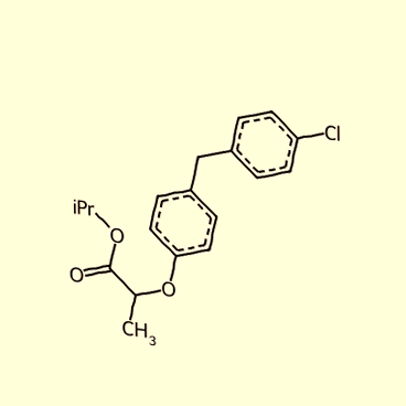 CC(C)OC(=O)C(C)Oc1ccc(Cc2ccc(Cl)cc2)cc1